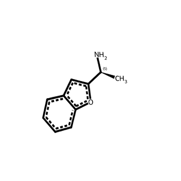 C[C@H](N)c1cc2ccccc2o1